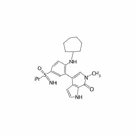 CC(C)S(=N)(=O)c1ccc(NC2CCCCCC2)c(-c2cn(C)c(=O)c3[nH]ccc23)c1